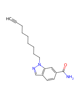 C#CCCCCCCCn1ncc2ccc(C(N)=O)cc21